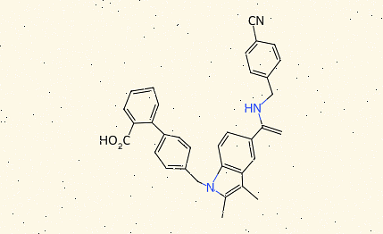 C=C(NCc1ccc(C#N)cc1)c1ccc2c(c1)c(C)c(C)n2Cc1ccc(-c2ccccc2C(=O)O)cc1